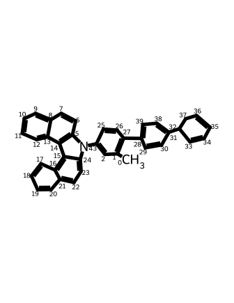 Cc1cc(-n2c3ccc4ccccc4c3c3c4ccccc4ccc32)ccc1-c1ccc(C2C=CC=CC2)cc1